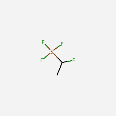 CC(F)S(F)(F)F